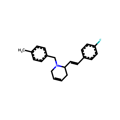 Cc1ccc(CN2CC=CCC2C=Cc2ccc(F)cc2)cc1